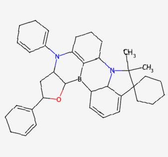 CC1(C)N2C3CCCC4=C3B(C3C=CC=C(C32)C12CCCCC2)C1OC(C2=CCCC=C2)CC1N4C1=CCCC=C1